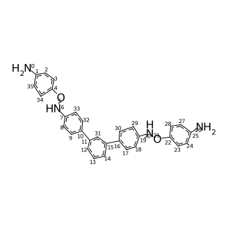 Nc1ccc(ONc2ccc(-c3cccc(-c4ccc(NOc5ccc(N)cc5)cc4)c3)cc2)cc1